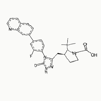 CC(C)(C)C1[C@H](Cc2n[nH]c(=O)n2-c2ccc(-c3ccc4cccnc4c3)cc2F)CCN1C(=O)O